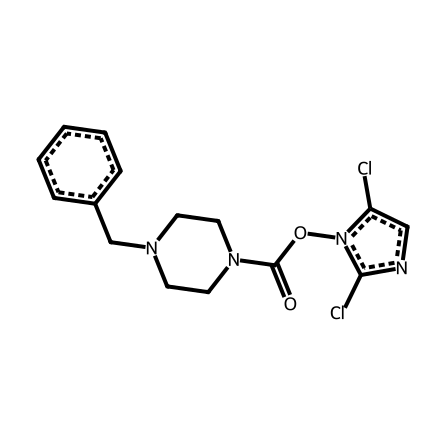 O=C(On1c(Cl)cnc1Cl)N1CCN(Cc2ccccc2)CC1